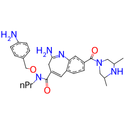 CCCN(OCc1ccc(N)cc1)C(=O)C1=Cc2ccc(C(=O)N3CC(C)NC(C)C3)cc2N=C(N)C1